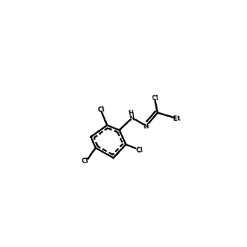 CCC(Cl)=NNc1c(Cl)cc(Cl)cc1Cl